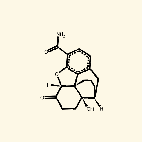 NC(=O)c1ccc2c3c1O[C@H]1C(=O)CC[C@@]4(O)[C@H](CCC[C@]314)C2